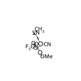 COc1ccc(I(OS(=O)(=O)C(F)(F)F)c2cc(C#N)cc(C#Cc3csc(C)n3)c2)cc1